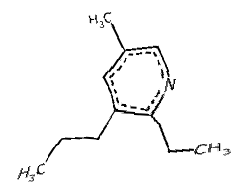 CCCc1cc(C)cnc1CC